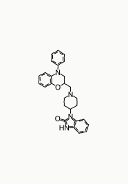 O=c1[nH]c2ccccc2n1C1CCN(CC2CN(c3ccccc3)c3ccccc3O2)CC1